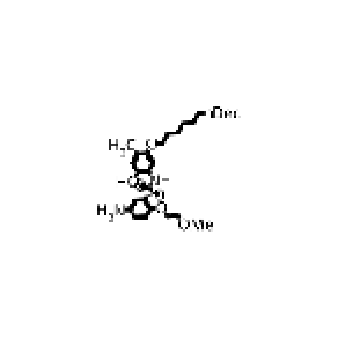 CCCCCCCCCCCCCCCCOc1cc(NS(=O)(=O)c2cc(N)ccc2OCCOC)c(O)cc1C